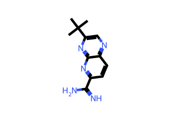 CC(C)(C)c1cnc2ccc(C(=N)N)nc2n1